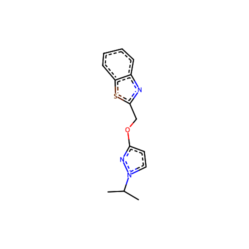 CC(C)n1ccc(OCc2nc3ccccc3s2)n1